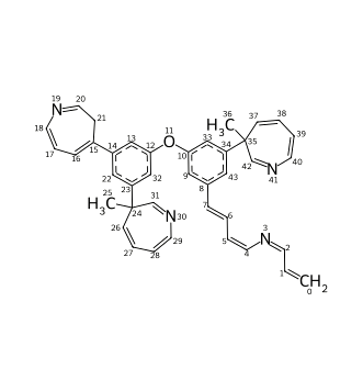 C=C\C=N/C=C\C=C\c1cc(Oc2cc(C3=CC=CN=CC3)cc(C3(C)C=CC=CN=C3)c2)cc(C2(C)C=CC=CN=C2)c1